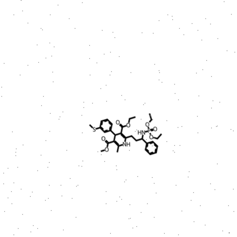 CCOC(=O)C1=C(CCC(NP(=O)(OCC)OCC)c2ccccc2)NC(C)=C(C(=O)OC)C1c1cccc(SC)c1